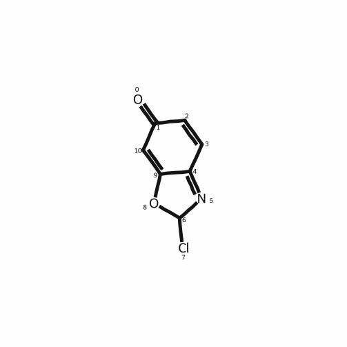 O=C1C=CC2=NC(Cl)OC2=C1